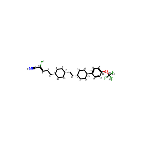 N#CC(F)=CCC[C@H]1CC[C@H](CC[C@H]2CC[C@H](c3ccc(OC(F)(F)F)cc3)CC2)CC1